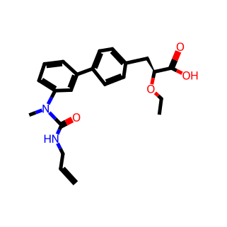 C=CCNC(=O)N(C)c1cccc(-c2ccc(C[C@H](OCC)C(=O)O)cc2)c1